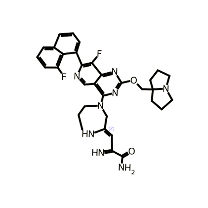 N=C(/C=C1/CN(c2nc(OCC34CCCN3CCC4)nc3c(F)c(-c4cccc5cccc(F)c45)ncc23)CCCN1)C(N)=O